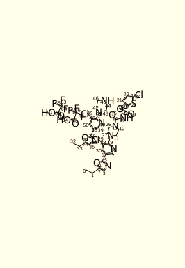 CCc1cnc(-c2cnc(N3CCN(C(=O)NS(=O)(=O)c4ccc(Cl)s4)CC3)c(Cl)c2)o1.CCc1cnc(-c2cnc(N3CCNCC3)c(Cl)c2)o1.O=C(O)C(F)(F)F.O=C(O)C(F)(F)F